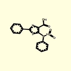 O=C(O)c1nc(-c2ccccc2)sc1N(c1ccccc1)[SH](=O)=O